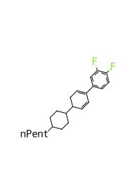 CCCCCC1CCC(C2C=CC(c3ccc(F)c(F)c3)=CC2)CC1